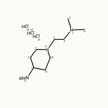 CNC1CCN(CCN(C)C)CC1.Cl.Cl.Cl